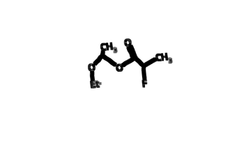 C[CH]OC(C)OC(=O)C(C)F